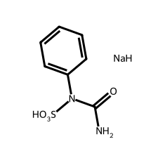 NC(=O)N(c1ccccc1)S(=O)(=O)O.[NaH]